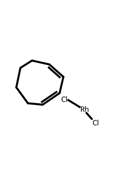 C1=CCCCCC=C1.[Cl][Rh][Cl]